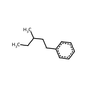 CCC(C)C[CH]c1ccccc1